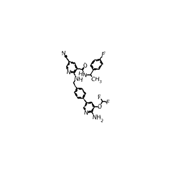 CC(NC(=O)c1cc(C#N)cnc1NCc1ccc(-c2cnc(N)c(OC(F)F)c2)cc1)c1ccc(F)cc1